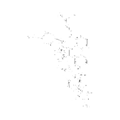 COc1ccc(CN(Cc2ccc(OC)cc2)S(=O)(=O)c2c(S(=O)(=O)C3CN(C(=O)OC(C)(C)C)C3)ccc(-c3cccc(/C=N/NC(N)=O)c3)c2-c2nnn(Cc3ccc(OC)cc3)n2)cc1